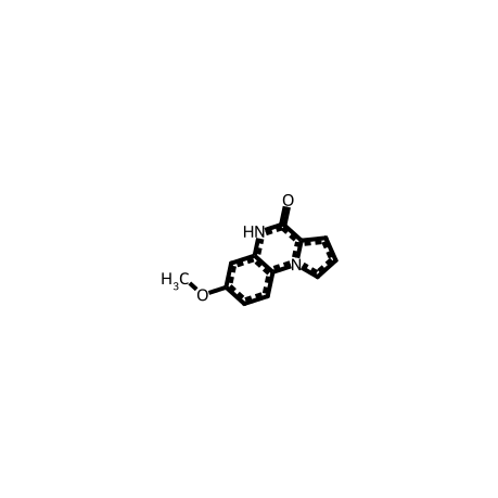 COc1ccc2c(c1)[nH]c(=O)c1cccn12